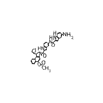 CC(=O)Oc1cc2c(c3ccccc13)C(CCl)CN2C(=O)c1cc2cc(NC(=O)c3cc4cc(N)ccc4[nH]3)ccc2[nH]1